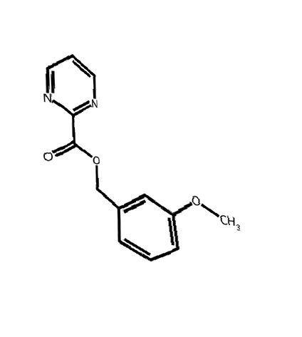 COc1cccc(COC(=O)c2ncccn2)c1